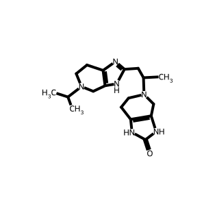 CC(C)N1CCc2nc(CC(C)N3CCc4[nH]c(=O)[nH]c4C3)[nH]c2C1